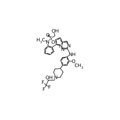 COc1cc(C2CCN(C[C@H](O)C(F)(F)F)CC2)ccc1Nc1ncc2ccc(-c3ccccc3N(C)S(=O)(=O)CO)n2n1